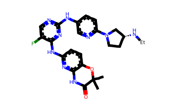 CCN[C@@H]1CCN(c2ccc(Nc3ncc(F)c(Nc4ccc5c(n4)NC(=O)C(C)(C)O5)n3)cn2)C1